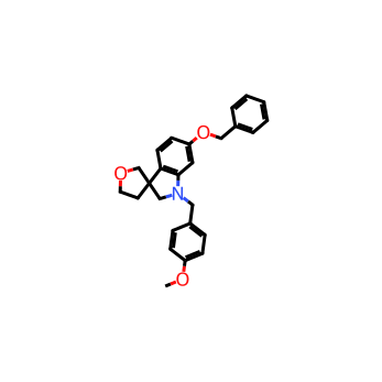 COc1ccc(CN2CC3(CCOC3)c3ccc(OCc4ccccc4)cc32)cc1